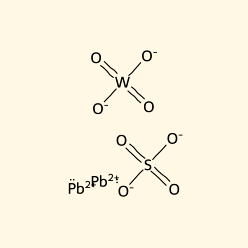 O=S(=O)([O-])[O-].[O]=[W](=[O])([O-])[O-].[Pb+2].[Pb+2]